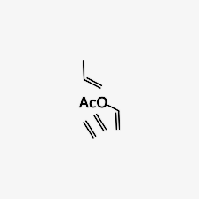 C=C.C=C.C=CC.C=COC(C)=O